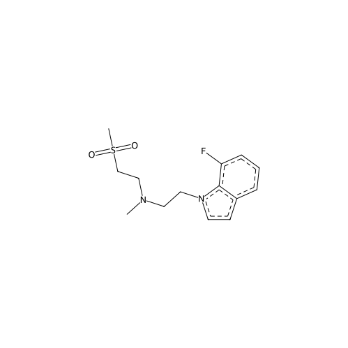 CN(CCn1ccc2cccc(F)c21)CCS(C)(=O)=O